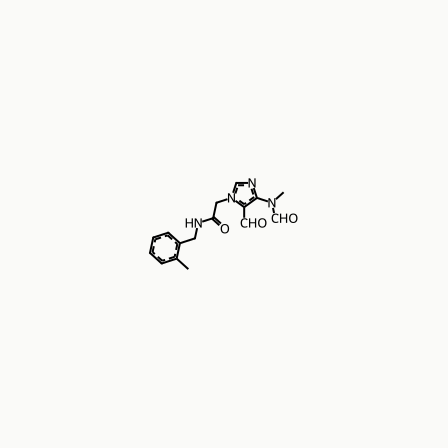 Cc1ccccc1CNC(=O)Cn1cnc(N(C)C=O)c1C=O